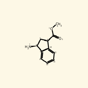 COC(=O)C1C[C@H](N)c2ccccc21